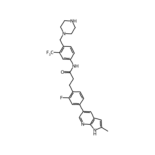 Cc1cc2cc(-c3ccc(CCC(=O)Nc4ccc(CN5CCNCC5)c(C(F)(F)F)c4)c(F)c3)cnc2[nH]1